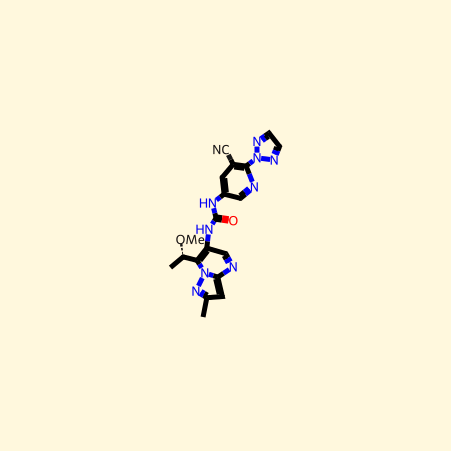 CO[C@@H](C)c1c(NC(=O)Nc2cnc(-n3nccn3)c(C#N)c2)cnc2cc(C)nn12